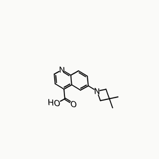 CC1(C)CN(c2ccc3nccc(C(=O)O)c3c2)C1